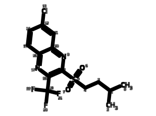 CC(C)CCS(=O)(=O)c1nc2cc(Cl)ccc2nc1C(F)(F)F